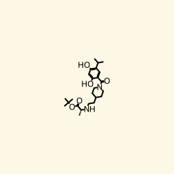 CC(C)c1cc(C(=O)N2CCC(CCN[C@@H](C)C(=O)OC(C)(C)C)CC2)c(O)cc1O